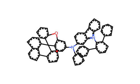 c1ccc(-c2cccc(-c3ccccc3)c2-n2c3ccccc3c3ccc(N(c4ccccc4)c4ccc5c(c4)Oc4ccccc4C54c5ccccc5-c5cccc6cccc4c56)cc32)cc1